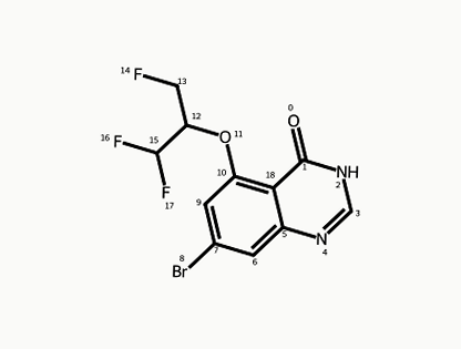 O=c1[nH]cnc2cc(Br)cc(OC(CF)C(F)F)c12